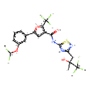 CC(O)(Cc1nsc(NC(=O)c2cc(-c3cccc(OC(F)F)c3)oc2C(F)(F)F)n1)C(F)(F)F